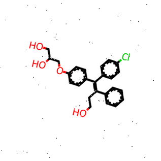 OCC/C(=C(/c1ccc(Cl)cc1)c1ccc(OCC(O)CO)cc1)c1ccccc1